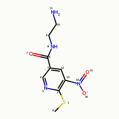 CSc1ncc(C(=O)NCCN)cc1[N+](=O)[O-]